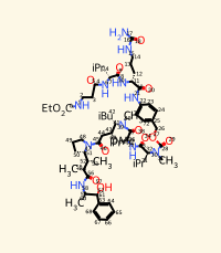 CCOC(=O)NCCC(=O)N[C@@H](C(=O)N[C@H](CCCNC(N)=O)C(=O)Nc1ccc(COC(=O)N(C)[C@H](C(=O)N[C@H](C(=O)N(C)[C@@H]([C@@H](C)CC)[C@@H](CC(=O)N2CCC[C@H]2[C@H](C)[C@@H](C)C(=O)N[C@H](C)[C@@H](O)c2ccccc2)OC)C(C)C)C(C)C)cc1)C(C)C